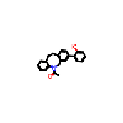 CC(=O)N1Cc2cc(-c3ccccc3O)ccc2CCc2ccccc21